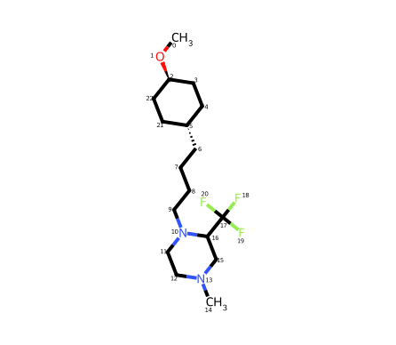 CO[C@H]1CC[C@H](CCCCN2CCN(C)CC2C(F)(F)F)CC1